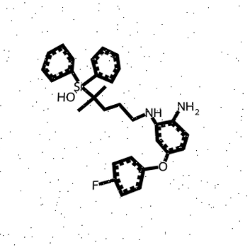 CC(C)(CCCNc1cc(Oc2ccc(F)cc2)ccc1N)[Si](O)(c1ccccc1)c1ccccc1